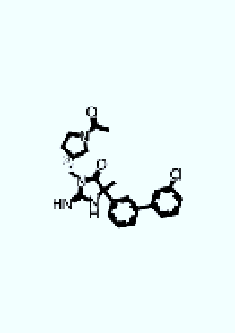 CC(=O)N1CC[C@@H](CN2C(=N)NC(C)(c3cccc(-c4cccc(Cl)c4)c3)C2=O)C1